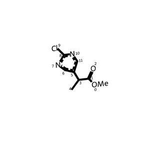 COC(=O)C(C)c1cnc(Cl)nc1